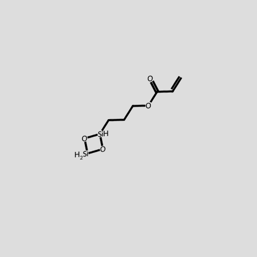 C=CC(=O)OCCC[SiH]1O[SiH2]O1